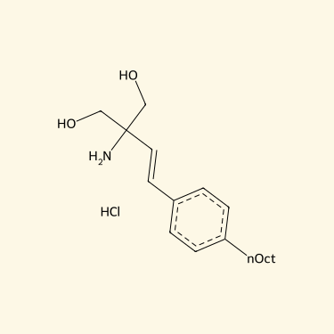 CCCCCCCCc1ccc(/C=C/C(N)(CO)CO)cc1.Cl